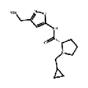 CC(C)(C)Cc1cc(NC(=O)[C@@H]2CCCN2CC2CC2)on1